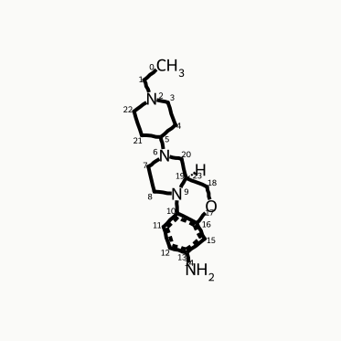 CCN1CCC(N2CCN3c4ccc(N)cc4OC[C@@H]3C2)CC1